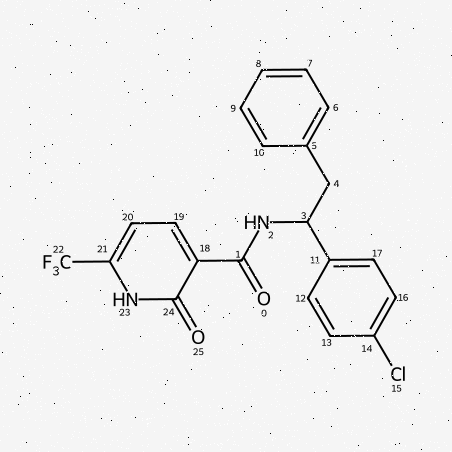 O=C(NC(Cc1ccccc1)c1ccc(Cl)cc1)c1ccc(C(F)(F)F)[nH]c1=O